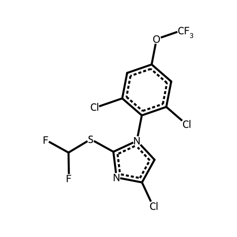 FC(F)Sc1nc(Cl)cn1-c1c(Cl)cc(OC(F)(F)F)cc1Cl